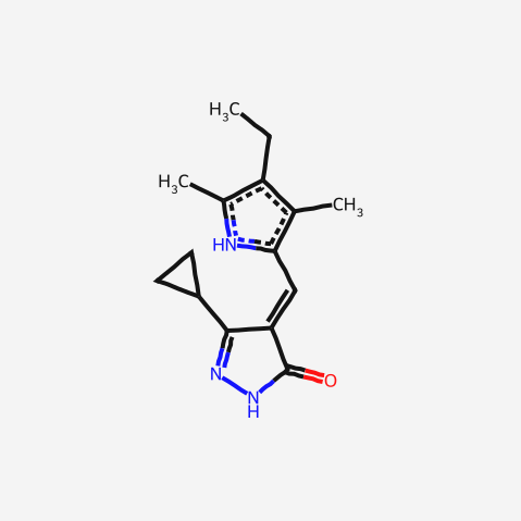 CCc1c(C)[nH]c(C=C2C(=O)NN=C2C2CC2)c1C